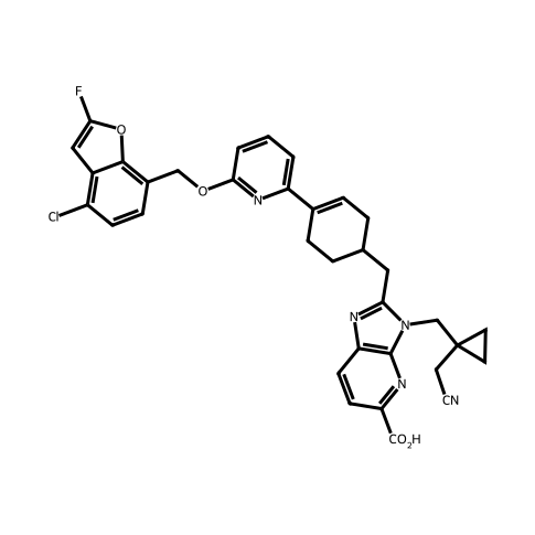 N#CCC1(Cn2c(CC3CC=C(c4cccc(OCc5ccc(Cl)c6cc(F)oc56)n4)CC3)nc3ccc(C(=O)O)nc32)CC1